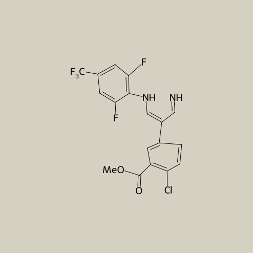 COC(=O)c1cc(/C(C=N)=C/Nc2c(F)cc(C(F)(F)F)cc2F)ccc1Cl